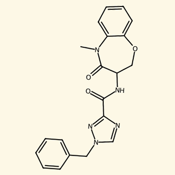 CN1C(=O)C(NC(=O)c2ncn(Cc3ccccc3)n2)COc2ccccc21